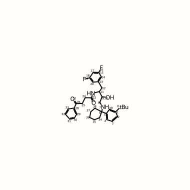 CC(C)(C)c1cccc(C2(NCC(O)C(Cc3cc(F)cc(F)c3)NC(=O)CCC(=O)c3ccccc3)CCCCC2)c1